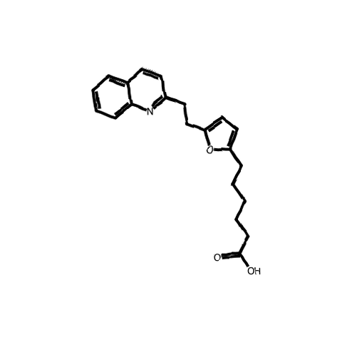 O=C(O)CCCCCc1ccc(CCc2ccc3ccccc3n2)o1